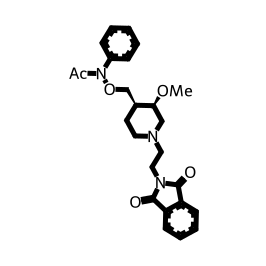 CO[C@H]1CN(CCN2C(=O)c3ccccc3C2=O)CC[C@H]1CON(C(C)=O)c1ccccc1